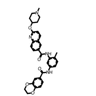 Cc1ccc(NC(=O)c2ccc3c(c2)OCCO3)cc1NC(=O)c1ccc2nc(OC3CCN(C)CC3)ccc2c1